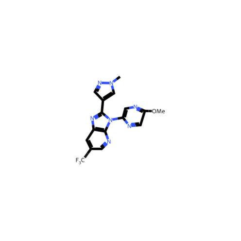 COc1cnc(-n2c(-c3cnn(C)c3)nc3cc(C(F)(F)F)cnc32)cn1